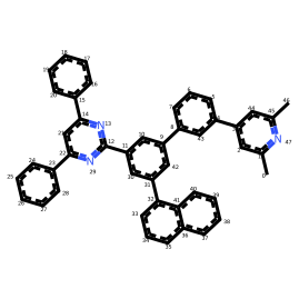 Cc1cc(-c2cccc(-c3cc(-c4nc(-c5ccccc5)cc(-c5ccccc5)n4)cc(-c4cccc5ccccc45)c3)c2)cc(C)n1